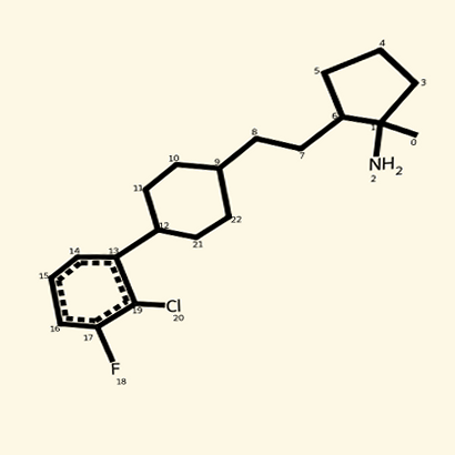 CC1(N)CCCC1CCC1CCC(c2cccc(F)c2Cl)CC1